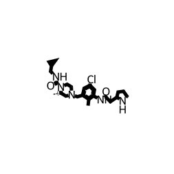 Cc1c(CN2CCN(C(=O)NCC3CC3)[C@@H](C)C2)cc(Cl)cc1NC(=O)CC1CCCN1